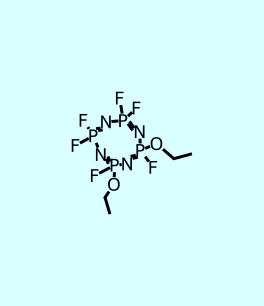 CCOP1(F)=NP(F)(F)=NP(F)(F)=NP(F)(OCC)=N1